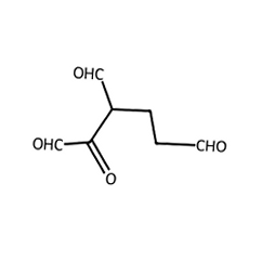 O=CCCC(C=O)C(=O)C=O